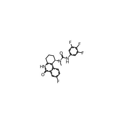 CN(C(=O)Nc1cc(F)c(F)c(F)c1)[C@@H]1CCCc2[nH]c(=O)c3cc(F)ccc3c21